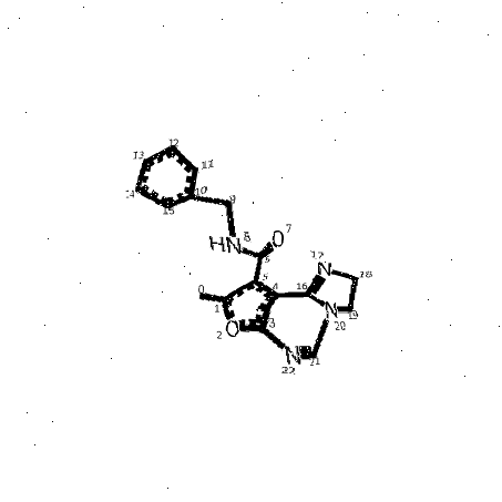 Cc1oc2c(c1C(=O)NCc1ccccc1)C1=NCCN1C=N2